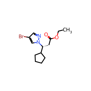 CCOC(=O)C[C@H](C1CCCC1)n1cc(Br)cn1